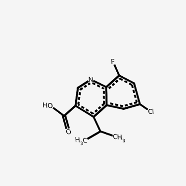 CC(C)c1c(C(=O)O)cnc2c(F)cc(Cl)cc12